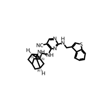 N#Cc1cnc(NCc2csc3ccccc23)nc1NC[C@]12CC3C[C@H](C1)[C@@H](N)[C@@H](C3)C2